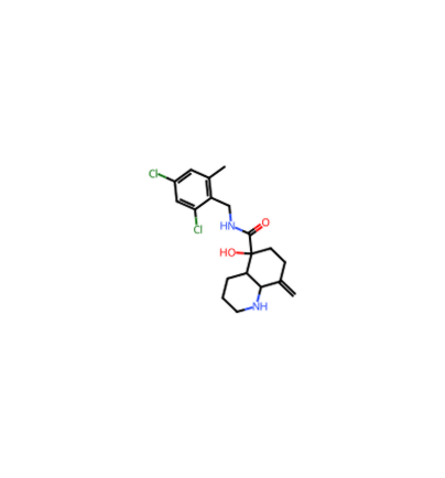 C=C1CCC(O)(C(=O)NCc2c(C)cc(Cl)cc2Cl)C2CCCNC12